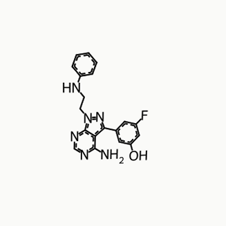 Nc1ncnc2c1c(-c1cc(O)cc(F)c1)nn2CCNc1ccccc1